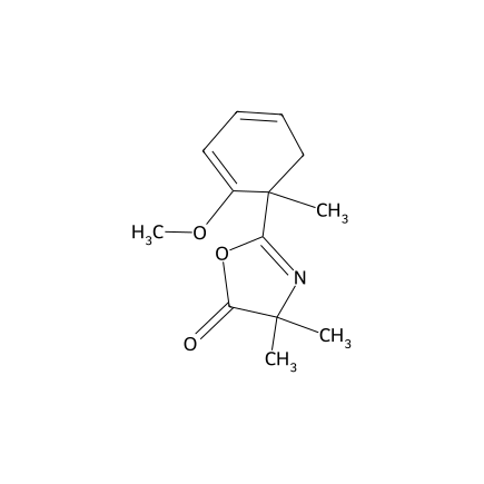 COC1=CC=CCC1(C)C1=NC(C)(C)C(=O)O1